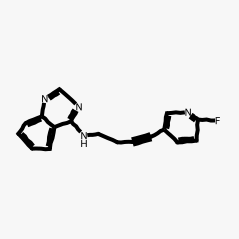 Fc1ccc(C#CCCNc2ncnc3ccccc23)cn1